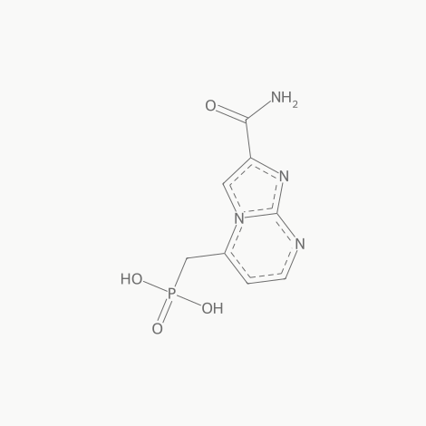 NC(=O)c1cn2c(CP(=O)(O)O)ccnc2n1